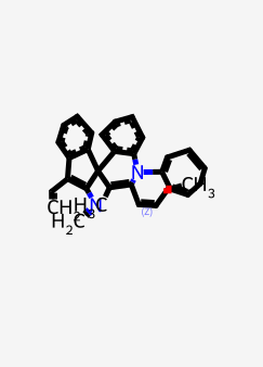 C=CC1=C(N=C)C2(C(C)=C(/C=C\CC)N(C3=CC=CCC=C3)c3ccccc32)c2ccccc21